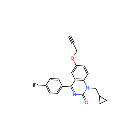 C#CCOc1ccc2c(c1)c(-c1ccc(C(C)C)cc1)nc(=O)n2CC1CC1